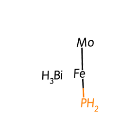 [BiH3].[PH2][Fe][Mo]